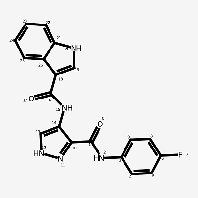 O=C(Nc1ccc(F)cc1)c1n[nH]cc1NC(=O)c1c[nH]c2ccccc12